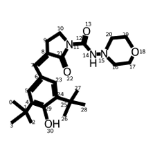 CC(C)(C)c1cc(C=C2CCN(C(=O)NN3CCOCC3)C2=O)cc(C(C)(C)C)c1O